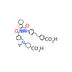 O=C(O)c1ccc(CCc2ccc(NC(=O)c3c(NC(=O)c4cccc(CN(C5CCC(C(=O)O)CC5)C5CC5)c4)sc4c3CCCC4)cc2)cc1